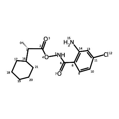 C[C@H](C(=O)ONC(=O)c1ccc(Cl)cc1N)C1CCCCC1